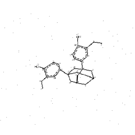 CCc1cc(C23CC4CC(C2)CC(c2ccc(O)c(CC)c2)(C4)C3)ccc1O